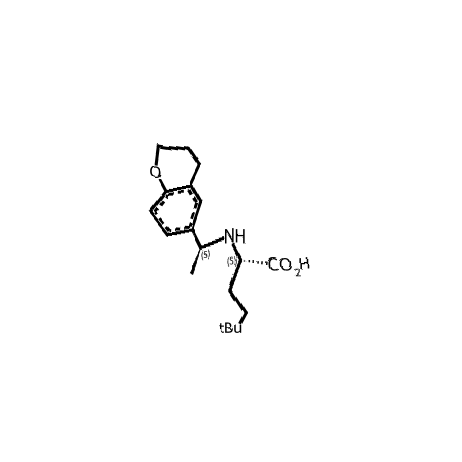 C[C@H](N[C@@H](CCC(C)(C)C)C(=O)O)c1ccc2c(c1)CCCO2